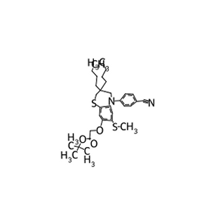 CCCCC1(CCCC)CSc2cc(OCC(=O)OC(C)(C)C)c(SC)cc2N(c2ccc(C#N)cc2)C1